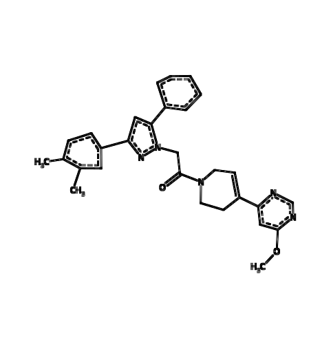 COc1cc(C2=CCN(C(=O)Cn3nc(-c4ccc(C)c(C)c4)cc3-c3ccccc3)CC2)ncn1